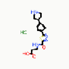 Cl.O=C(O)CCNC(=O)c1nnc(-c2ccc(C3CCNCC3)cc2)s1